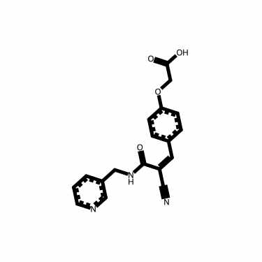 N#CC(=Cc1ccc(OCC(=O)O)cc1)C(=O)NCc1cccnc1